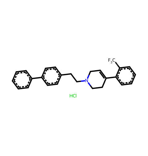 Cl.FC(F)(F)c1ccccc1C1=CCN(CCc2ccc(-c3ccccc3)cc2)CC1